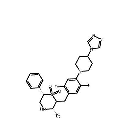 CC[C@@H]1NC[C@H](c2ccccc2)S(=O)(=O)C1Cc1cc(F)c(N2CCC(n3cnnc3)CC2)cc1F